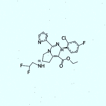 CCOC(=O)C1=C2C[C@H](NCC(F)F)CN2C(c2nccs2)=N[C@H]1c1ccc(F)cc1Cl